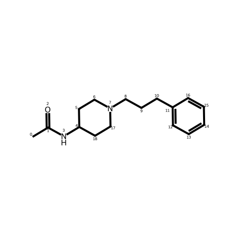 CC(=O)NC1CCN(CCCc2ccccc2)CC1